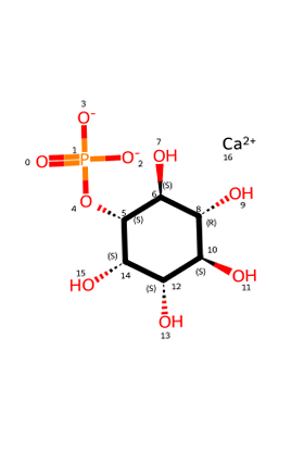 O=P([O-])([O-])O[C@@H]1[C@@H](O)[C@H](O)[C@@H](O)[C@H](O)[C@@H]1O.[Ca+2]